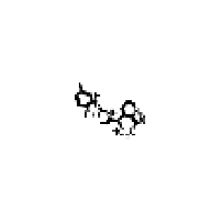 C/C=C(\NC(=O)Nc1cc(C)ccc1F)C(C)c1cccn2nnc(C(=O)O)c12